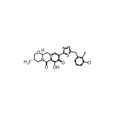 C[C@@H]1CO[C@H]2Cn3cc(-c4nnc(Cc5cccc(Cl)c5F)s4)c(=O)c(O)c3C(=O)N2C1